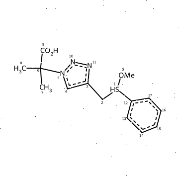 CO[SH](Cc1cn(C(C)(C)C(=O)O)nn1)c1ccccc1